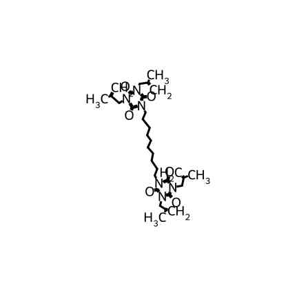 C=C(C)Cn1c(=O)n(CCCCCCCCCCn2c(=O)n(CC(=C)C)c(=O)n(CC(=C)C)c2=O)c(=O)n(CC(=C)C)c1=O